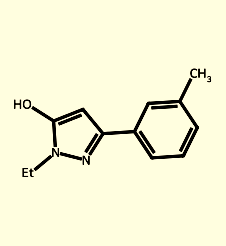 CCn1nc(-c2cccc(C)c2)cc1O